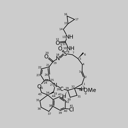 CO[C@H]1/C=C/C[C@H](C)CS(=O)(NC(=O)NCC2CC2)=NC(=O)c2ccc3c(c2)N(C[C@@H]2CC[C@H]21)C[C@@]1(CCCc2cc(Cl)ccc21)CO3